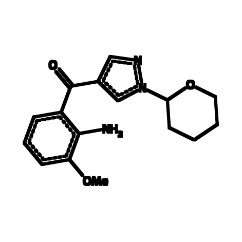 COc1cccc(C(=O)c2cnn(C3CCCCO3)c2)c1N